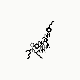 CCCCc1ccc(N=Nc2cc(C#N)c(/N=N/c3cc(OC)c(N(CC(CC)CCCC)CC(CC)CCCC)cc3NC(=O)CC)s2)cc1